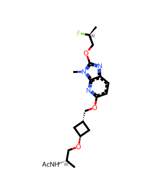 CC(=O)N[C@@H](C)CO[C@H]1C[C@H](COc2ccc3nc(OC[C@H](C)F)n(C)c3n2)C1